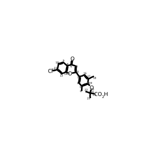 Cc1cc(-c2cc(=O)c3ccc(Cl)cc3o2)cc(C)c1OC(C)(C)C(=O)O